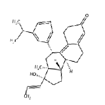 CC=C[C@]1(O)CC[C@H]2[C@@H]3CCC4=CC(=O)CCC4=C3[C@@H](c3cccc(C(C)C)c3)C[C@@]21C